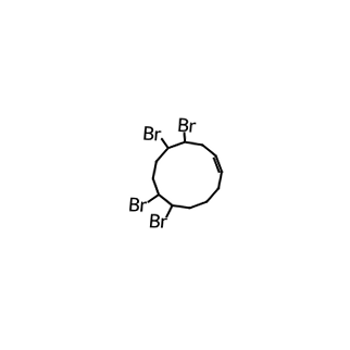 BrC1C/C=C\CCCC(Br)C(Br)CCC1Br